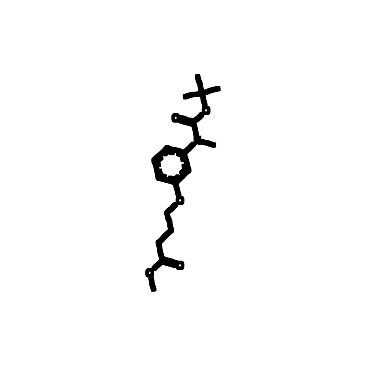 COC(=O)CCCOc1cccc(N(C)C(=O)OC(C)(C)C)c1